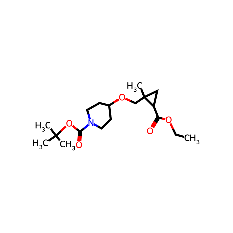 CCOC(=O)C1CC1(C)COC1CCN(C(=O)OC(C)(C)C)CC1